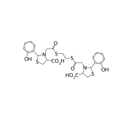 O=C(CN1C(C(=O)O)CSC1c1ccccc1O)SCCSC(=O)CN1C(C(=O)O)CSC1c1ccccc1O